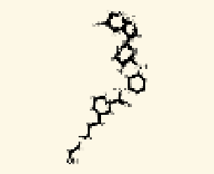 O=C(N[C@H]1CCC[C@@H](Nc2nc(-c3c[nH]c4ncc(F)cc34)ncc2F)C1)N1CCCC(CCCOCCO)C1